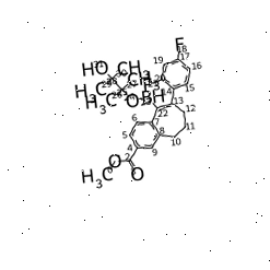 COC(=O)c1ccc2c(c1)CCCC(c1ccc(F)cc1F)=C2BOC(C)(C)C(C)(C)O